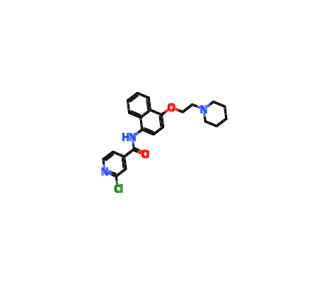 O=C(Nc1ccc(OCCN2CCCCC2)c2ccccc12)c1ccnc(Cl)c1